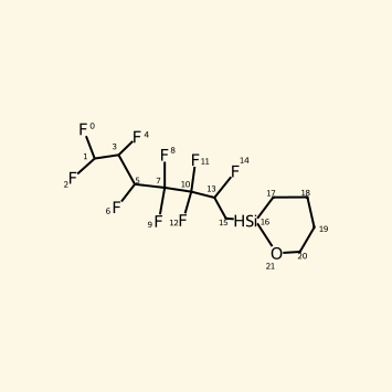 FC(F)C(F)C(F)C(F)(F)C(F)(F)C(F)C[SiH]1CCCCO1